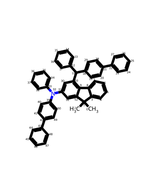 CC1(C)c2ccccc2-c2c(C(c3ccccc3)c3ccc(-c4ccccc4)cc3)cc(N(c3ccccc3)c3ccc(-c4ccccc4)cc3)cc21